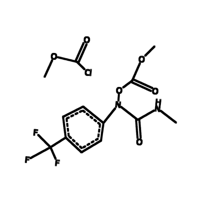 CNC(=O)N(OC(=O)OC)c1ccc(C(F)(F)F)cc1.COC(=O)Cl